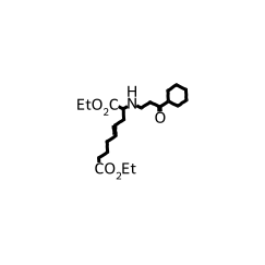 CCOC(=O)CCCC=CCC(NCCC(=O)C1CCCCC1)C(=O)OCC